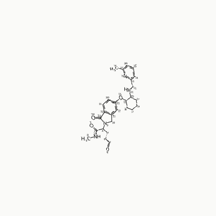 CNC(=O)C(CCC=O)N1Cc2cc(OC3CCCCC3NCc3cccc(C)n3)ccc2C1=O